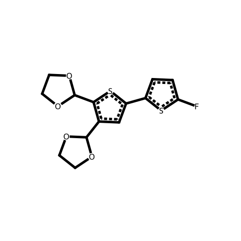 Fc1ccc(-c2cc(C3OCCO3)c(C3OCCO3)s2)s1